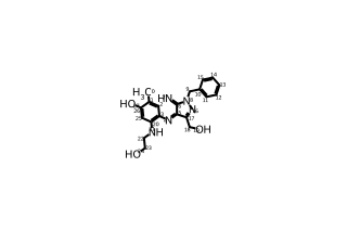 Cc1cc(N=C2C(=N)N(Cc3ccccc3)N=C2CO)c(NCCO)cc1O